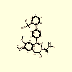 CNC(=O)N1N=C(c2ccc(-c3cccnc3C(F)(F)F)cc2)c2cc(OC)c(OC)cc2CC1C